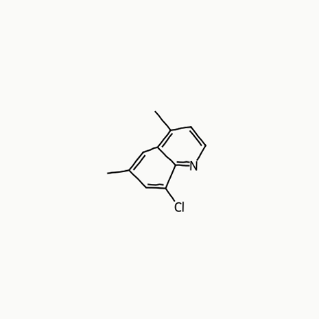 Cc1cc(Cl)c2nccc(C)c2c1